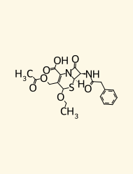 CCOC1S[C@@H]2[C@H](NC(=O)Cc3ccccc3)C(=O)N2C(C(=O)O)=C1COC(C)=O